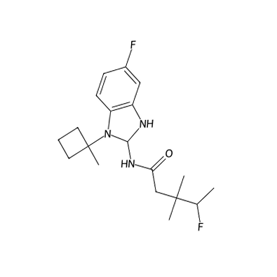 CC(F)C(C)(C)CC(=O)NC1Nc2cc(F)ccc2N1C1(C)CCC1